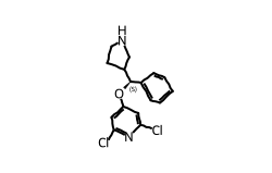 Clc1cc(O[C@H](c2ccccc2)C2CCNC2)cc(Cl)n1